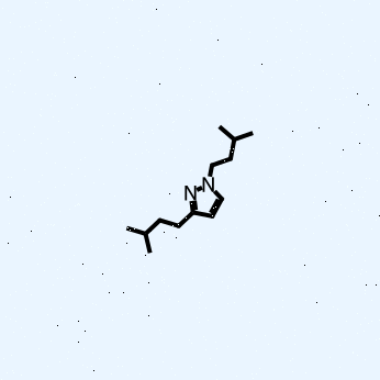 CC(C)CCc1ccn(CCC(C)C)n1